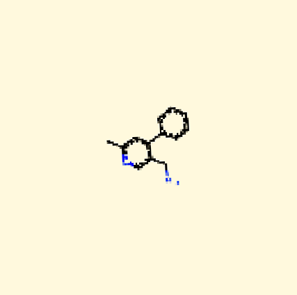 Cc1cc(-c2ccccc2)c(CN)cn1